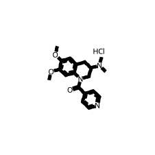 COc1cc2c(cc1OC)N(C(=O)c1ccncc1)CC(N(C)C)C2.Cl